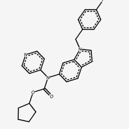 O=C(OC1CCCC1)N(c1ccncc1)c1ccc2[c]cn(Cc3ccc(F)cc3)c2c1